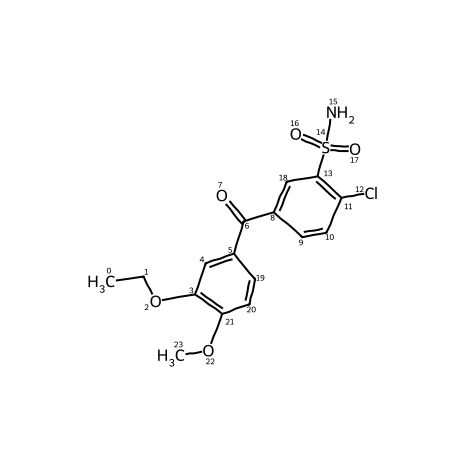 CCOc1cc(C(=O)c2ccc(Cl)c(S(N)(=O)=O)c2)ccc1OC